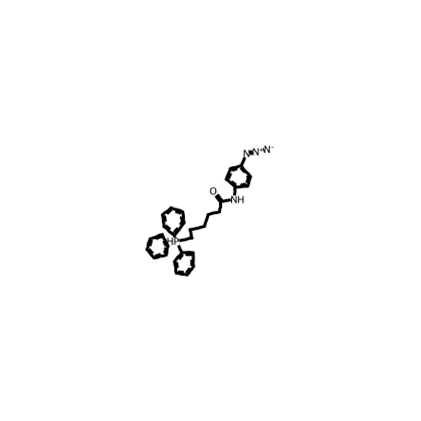 [N-]=[N+]=Nc1ccc(NC(=O)CCCCC[PH](c2ccccc2)(c2ccccc2)c2ccccc2)cc1